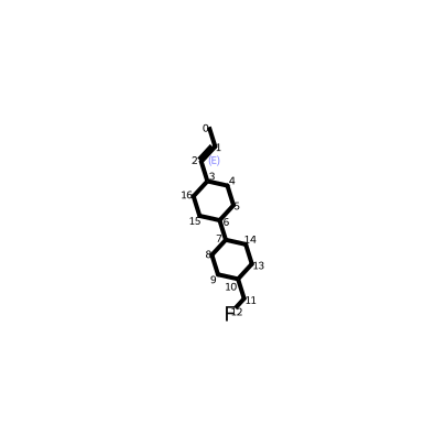 C/C=C/C1CCC(C2CCC(CF)CC2)CC1